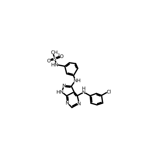 CS(=O)(=O)Nc1cccc(Nc2n[nH]c3ncnc(Nc4cccc(Cl)c4)c23)c1